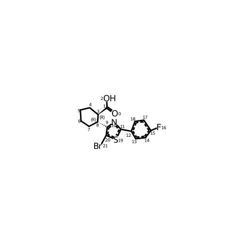 O=C(O)[C@@H]1CCCC[C@H]1c1nc(-c2ccc(F)cc2)sc1Br